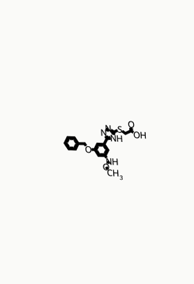 CONc1cc(OCc2ccccc2)cc(-c2nnc(SCC(=O)O)[nH]2)c1